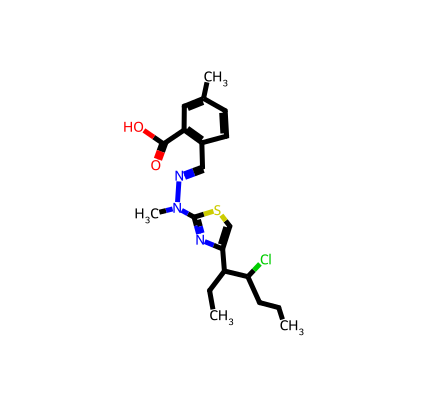 CCCC(Cl)C(CC)c1csc(N(C)/N=C/c2ccc(C)cc2C(=O)O)n1